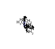 C=C(NC1CCC1)/C(C)=C/C=C1/CC[C@H](CCN)N(C(=O)Nc2cnccn2)C1=C